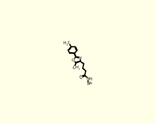 CCCNC(=O)CCCc1nc(-c2ccc(C)cc2)oc1C